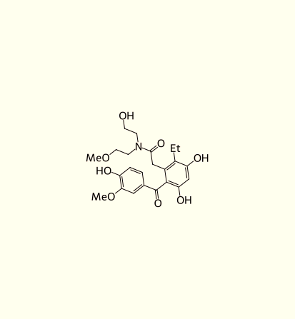 CCc1c(O)cc(O)c(C(=O)c2ccc(O)c(OC)c2)c1CC(=O)N(CCO)CCOC